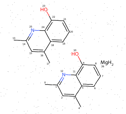 Cc1cc(C)c2cccc(O)c2n1.Cc1cc(C)c2cccc(O)c2n1.[MgH2]